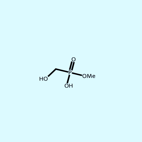 COP(=O)(O)CO